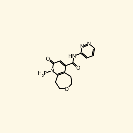 O=C(Nc1cccnn1)c1cc(=O)n(P)c2c1CCOCC2